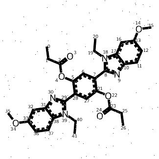 CCC(=O)Oc1cc(-c2nc3ccc(OC)cc3n2CC)c(OC(=O)CC)cc1-c1nc2cc(OC)ccc2n1CC